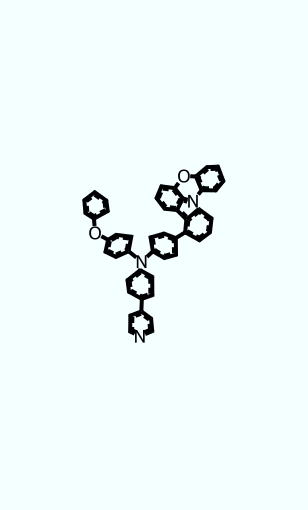 c1ccc(Oc2ccc(N(c3ccc(-c4ccncc4)cc3)c3ccc(-c4cccc5c4c4cccc6c4n5-c4ccccc4O6)cc3)cc2)cc1